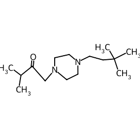 CC(C)C(=O)CN1CCN(CCC(C)(C)C)CC1